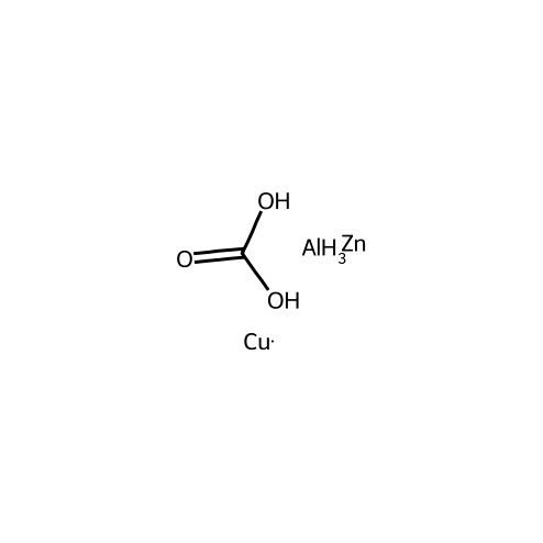 O=C(O)O.[AlH3].[Cu].[Zn]